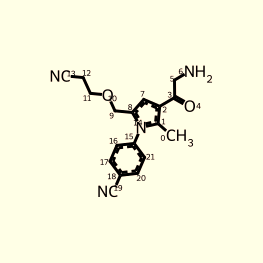 Cc1c(C(=O)CN)cc(COCCC#N)n1-c1ccc(C#N)cc1